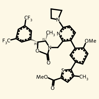 COC(=O)c1cc(C)c(-c2ccc(OC)c(-c3ccc(N4CCC4)nc3CN3C(=O)O[C@H](c4cc(C(F)(F)F)cc(C(F)(F)F)c4)[C@@H]3C)c2)s1